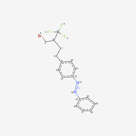 FC(F)(F)C(CBr)CCc1ccc(/N=N/c2ccccc2)cc1